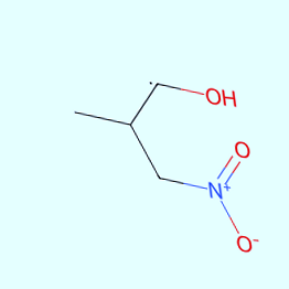 CC([CH]O)C[N+](=O)[O-]